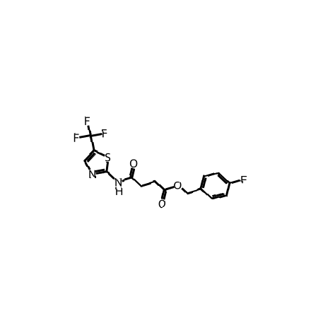 O=C(CCC(=O)OCc1ccc(F)cc1)Nc1ncc(C(F)(F)F)s1